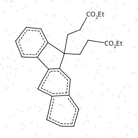 CCOC(=O)CCC1(CCC(=O)OCC)c2ccccc2-c2cc3ccccc3cc21